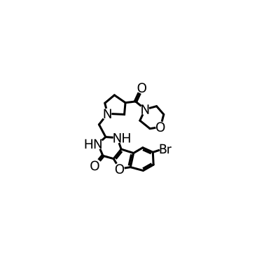 O=C1NC(CN2CCC(C(=O)N3CCOCC3)C2)Nc2c1oc1ccc(Br)cc21